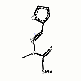 CSC(=S)N(C)/N=C/c1ccco1